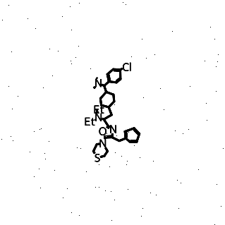 CCN(CC)C(CC1CCC(C(c2ccc(Cl)cc2)N(C)C)CC1)c1nc(Cc2ccccc2)c(N2CCSCC2)o1